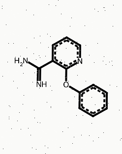 N=C(N)c1cccnc1Oc1ccccc1